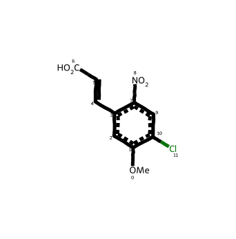 COc1cc(/C=C/C(=O)O)c([N+](=O)[O-])cc1Cl